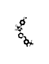 COc1ccc(-n2nc([C@H]3CCCN(Cc4ccc(C)c(C(F)(F)F)c4)C3)[nH]c2=O)cc1